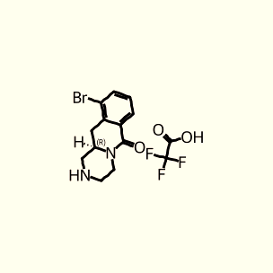 O=C(O)C(F)(F)F.O=C1c2cccc(Br)c2C[C@@H]2CNCCN12